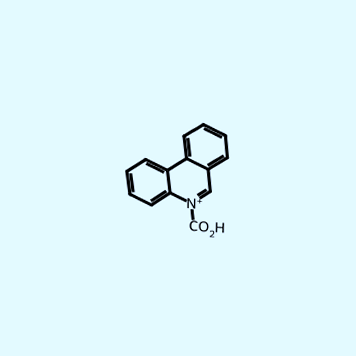 O=C(O)[n+]1cc2ccccc2c2ccccc21